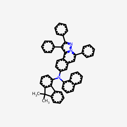 CC1(C)c2ccccc2-c2c(N(c3ccc4c(c3)cc(-c3ccccc3)n3nc(-c5ccccc5)c(-c5ccccc5)c43)c3cccc4ccccc34)cccc21